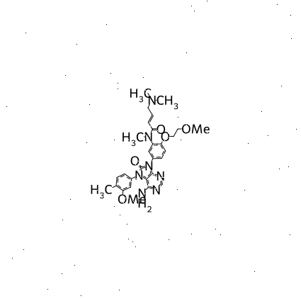 COCCOc1ccc(-n2c(=O)n(-c3ccc(C)c(OC)c3)c3c(N)ncnc32)cc1N(C)C(=O)C=CCN(C)C